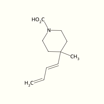 C=CC=CC1(C)CCN(C(=O)O)CC1